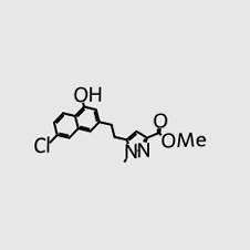 COC(=O)c1cc(CCc2cc(O)c3ccc(Cl)cc3c2)n(C)n1